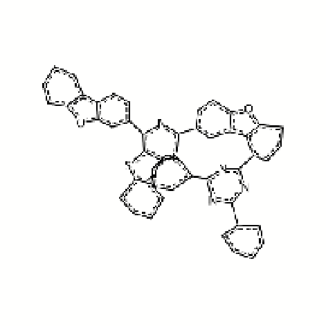 c1ccc(-c2nc(-c3ccccc3)nc(-c3cccc4oc5ccc(-c6nc(-c7ccc8c(c7)oc7ccccc78)c7sc8ccccc8c7n6)cc5c34)n2)cc1